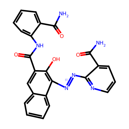 NC(=O)c1ccccc1NC(=O)c1cc2ccccc2c(/N=N/c2ncccc2C(N)=O)c1O